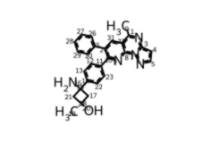 Cc1nc2ccnn2c2nc(-c3ccc([C@]4(N)C[C@@](C)(O)C4)cc3)c(-c3ccccc3)cc12